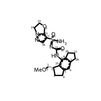 COC[C@H]1CCc2cc3c(c(NC(=O)N=S(N)(=O)c4cnn5c4OCC5)c21)CCC3